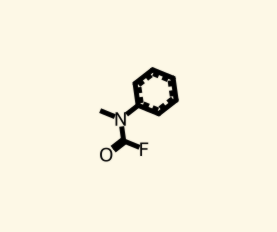 CN(C(=O)F)c1ccccc1